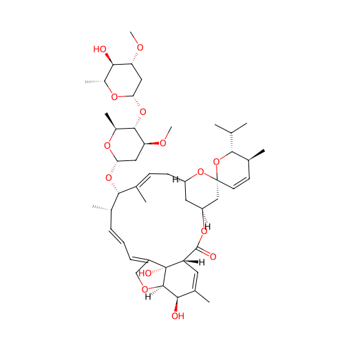 CO[C@H]1C[C@H](O[C@@H]2/C(C)=C/C[C@@H]3C[C@@H](C[C@]4(C=C[C@H](C)[C@@H](C(C)C)O4)O3)OC(=O)[C@@H]3C=C(C)[C@@H](O)[C@H]4OC/C(=C\C=C\[C@@H]2C)[C@]43O)O[C@@H](C)[C@@H]1O[C@H]1C[C@@H](OC)[C@H](O)[C@@H](C)O1